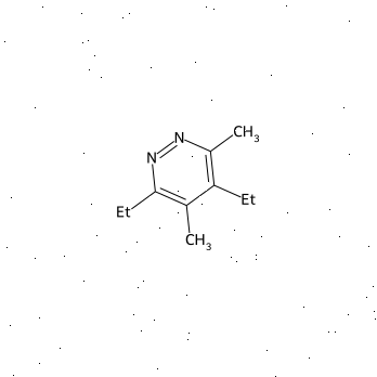 CCc1nnc(C)c(CC)c1C